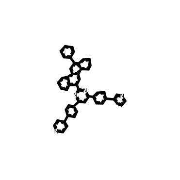 c1ccc(-c2cc3c4ccccc4c(-c4nc(-c5ccc(-c6ccncc6)cc5)cc(-c5ccc(-c6cccnc6)cc5)n4)cc3c3ccccc23)cc1